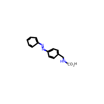 O=C(O)N[CH]c1ccc(N=Nc2ccccc2)cc1